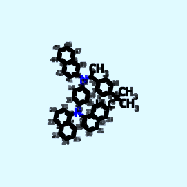 CC(c1ccc(C(C)(C)C)cc1)N(c1ccc(N(c2cccc3ccccc23)c2cccc3ccccc23)cc1)c1ccc2ccccc2c1